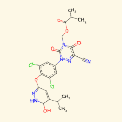 CC(C)C(=O)OCn1c(=O)c(C#N)nn(-c2cc(Cl)c(OC3=NNC(O)C(C(C)C)=C3)c(Cl)c2)c1=O